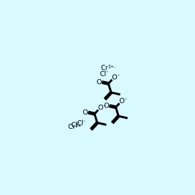 C=C(C)C(=O)[O-].C=C(C)C(=O)[O-].C=C(C)C(=O)[O-].[Cl-].[Cl-].[Cl-].[Cr+3].[Cr+3]